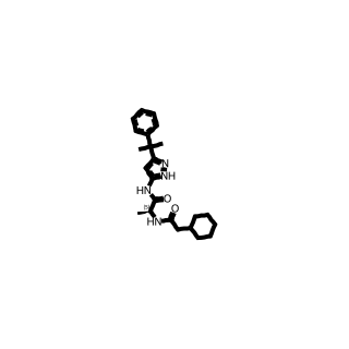 C[C@H](NC(=O)CC1CCCCC1)C(=O)Nc1cc(C(C)(C)c2ccccc2)n[nH]1